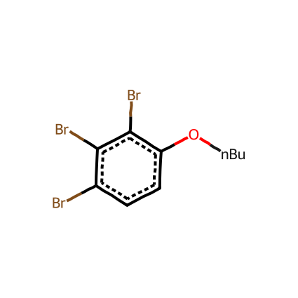 CCCCOc1ccc(Br)c(Br)c1Br